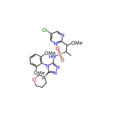 COc1cccc(OC)c1-n1c(NS(=O)(=O)C(C)C(OC)c2ncc(Cl)cn2)nnc1[C@H]1CCCOC1